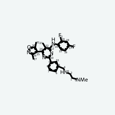 CNCCNCc1cccc(-c2nc(Nc3ccc(F)cc3F)c(C)c(-c3c(C)noc3C)n2)c1